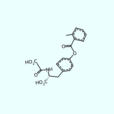 Cc1ccccc1C(=O)Oc1ccc(C[C@@H](NC(=O)C(=O)O)C(=O)O)cc1